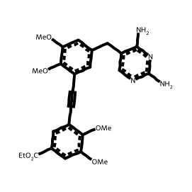 CCOC(=O)c1cc(C#Cc2cc(Cc3cnc(N)nc3N)cc(OC)c2OC)c(OC)c(OC)c1